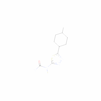 NC(=O)N(S)c1nnc(C2CCC(C(=O)O)CC2)s1